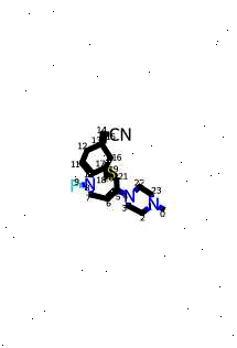 CN1CCN(C2=CCN(F)C3=CC/C(=C/C#N)CC34CSC=C24)CC1